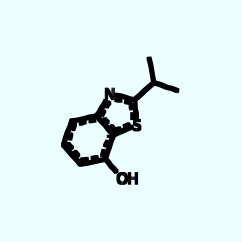 CC(C)c1nc2cccc(O)c2s1